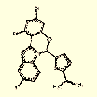 C=C(C)c1ccc(C2Oc3cc(Br)cc(F)c3-c3cc4cc(Br)ccc4n32)s1